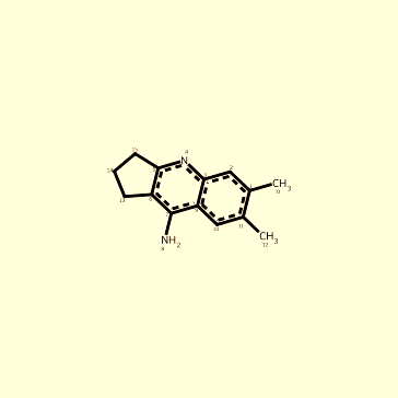 Cc1cc2nc3c(c(N)c2cc1C)CCC3